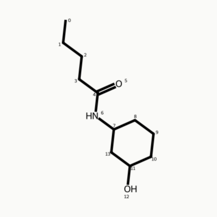 CCCCC(=O)NC1CCCC(O)C1